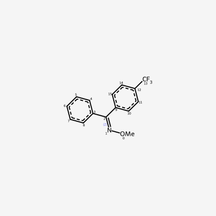 CO/N=C(/c1ccccc1)c1ccc(C(F)(F)F)cc1